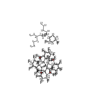 CCCCC(CC)CC[PH+](CCCC)c1ccc(F)cc1F.FC1=C(F)[CH]([Al-]([CH]2C(F)=C(F)c3c(F)c(F)c(F)c(F)c32)([CH]2C(F)=C(F)c3c(F)c(F)c(F)c(F)c32)[CH]2C(F)=C(F)c3c(F)c(F)c(F)c(F)c32)c2c(F)c(F)c(F)c(F)c21